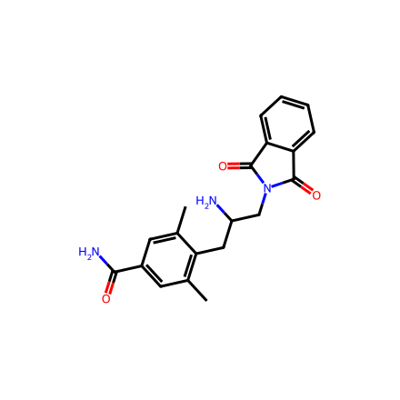 Cc1cc(C(N)=O)cc(C)c1CC(N)CN1C(=O)c2ccccc2C1=O